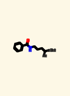 CCCCCCCCC(CCCNC(=O)c1ccccc1)C(C)=O